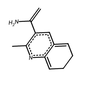 C=C(N)c1cc2c(nc1C)=CCCC=2